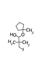 CC1(OC(O)C(C)(C)CI)CCCC1